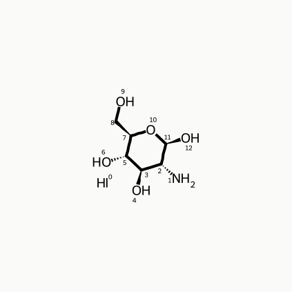 I.N[C@@H]1[C@@H](O)[C@H](O)[C@@H](CO)O[C@H]1O